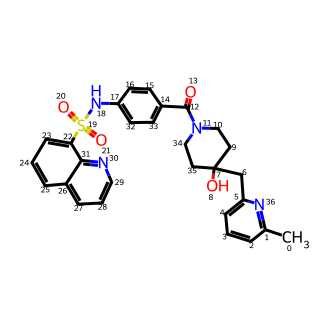 Cc1cccc(CC2(O)CCN(C(=O)c3ccc(NS(=O)(=O)c4cccc5cccnc45)cc3)CC2)n1